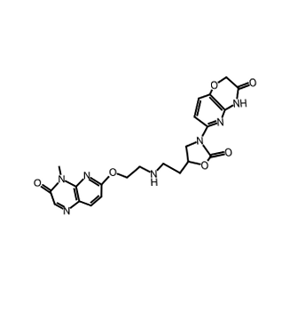 Cn1c(=O)cnc2ccc(OCCNCCC3CN(c4ccc5c(n4)NC(=O)CO5)C(=O)O3)nc21